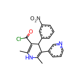 CC1=C(C(=O)Cl)C(c2cccc([N+](=O)[O-])c2)C(c2cccnc2)=C(C)N1